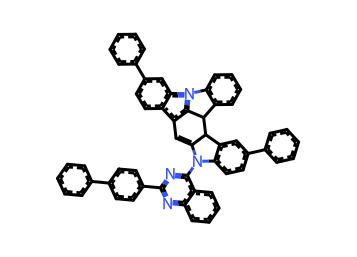 C1=C2C(c3cc(-c4ccccc4)ccc3N2c2nc(-c3ccc(-c4ccccc4)cc3)nc3ccccc23)C2c3ccccc3-n3c2c1c1ccc(-c2ccccc2)cc13